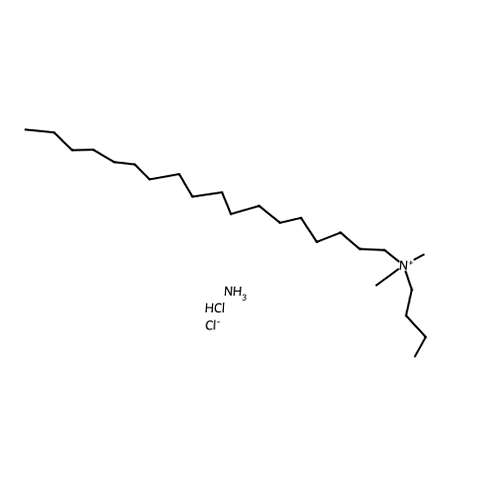 CCCCCCCCCCCCCCCCCC[N+](C)(C)CCCC.Cl.N.[Cl-]